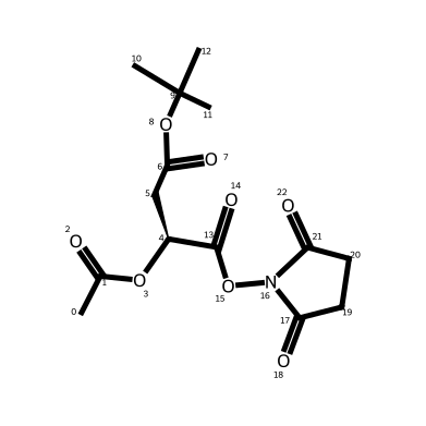 CC(=O)O[C@@H](CC(=O)OC(C)(C)C)C(=O)ON1C(=O)CCC1=O